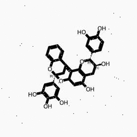 OC1=CC2O[C@]3(c4cc(O)c(O)c(O)c4)CC(=C2C2=C1C[C@H](O)[C@@H](c1ccc(O)c(O)c1)O2)c1ccccc1O3